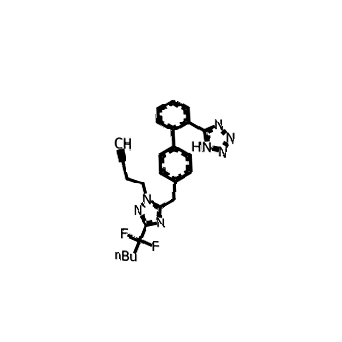 C#CCCn1nc(C(F)(F)CCCC)nc1Cc1ccc(-c2ccccc2-c2nnn[nH]2)cc1